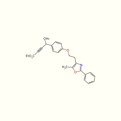 CCOC(=O)C#CC(OC(C)=O)c1ccc(OCCc2nc(-c3ccccc3)oc2C)cc1